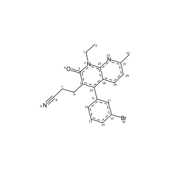 CCn1c(=O)c(CCC#N)c(-c2cccc(Br)c2)c2ccc(C)nc21